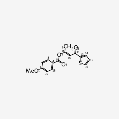 COc1ccc(C(=O)OC(C)=CC(=O)c2cccs2)cc1